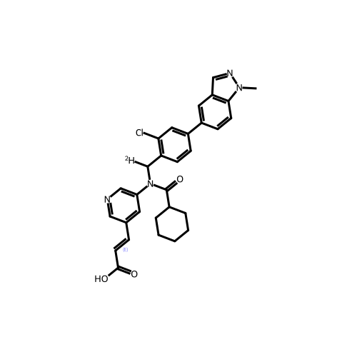 [2H]C(c1ccc(-c2ccc3c(cnn3C)c2)cc1Cl)N(C(=O)C1CCCCC1)c1cncc(/C=C/C(=O)O)c1